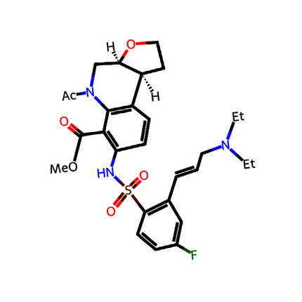 CCN(CC)CC=Cc1cc(F)ccc1S(=O)(=O)Nc1ccc2c(c1C(=O)OC)N(C(C)=O)C[C@H]1OCC[C@@H]21